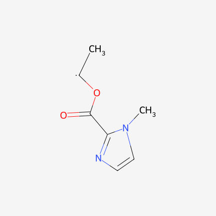 C[CH]OC(=O)c1nccn1C